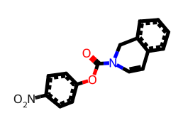 O=C(Oc1ccc([N+](=O)[O-])cc1)N1C=Cc2ccccc2C1